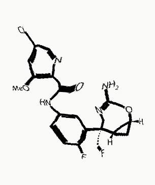 COc1cc(Cl)cnc1C(=O)Nc1ccc(F)c([C@@]2(CF)N=C(N)O[C@@H]3C[C@@H]32)c1